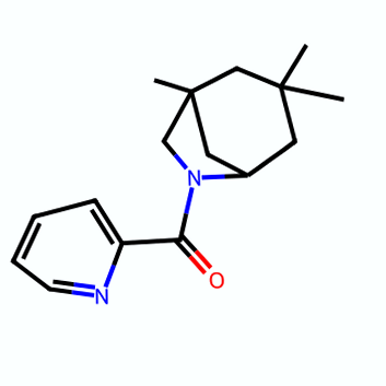 CC1(C)CC2CC(C)(CN2C(=O)c2ccccn2)C1